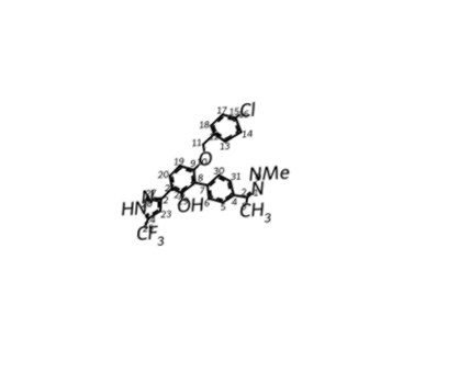 CN/N=C(/C)c1ccc(-c2c(OCc3ccc(Cl)cc3)ccc(-c3cc(C(F)(F)F)[nH]n3)c2O)cc1